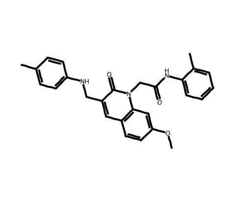 COc1ccc2cc(CNc3ccc(C)cc3)c(=O)n(CC(=O)Nc3ccccc3C)c2c1